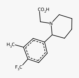 Cc1cc(C2CCCCN2CC(=O)O)ccc1C(F)(F)F